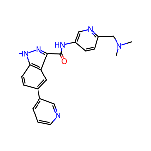 CN(C)Cc1ccc(NC(=O)c2n[nH]c3ccc(-c4cccnc4)cc23)cn1